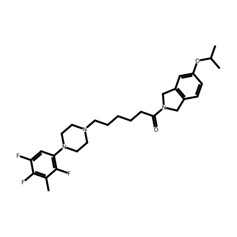 Cc1c(F)c(F)cc(N2CCN(CCCCCC(=O)N3Cc4ccc(OC(C)C)cc4C3)CC2)c1F